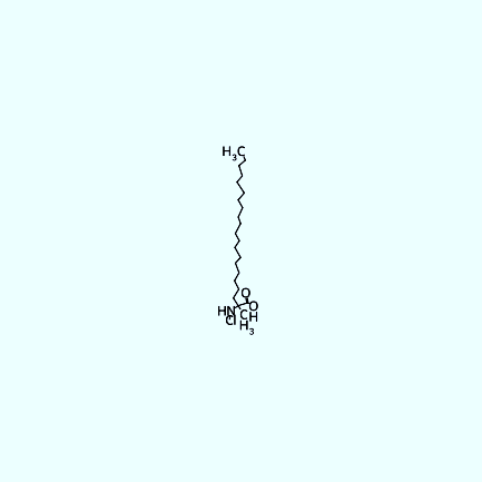 CCCCCCCCCCCCCCCCCCCC(C)(NCl)C(=O)O